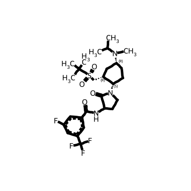 CC(C)N(C)[C@@H]1CC[C@H](N2CCC(NC(=O)c3cc(F)cc(C(F)(F)F)c3)C2=O)[C@H](CS(=O)(=O)C(C)(C)C)C1